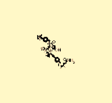 Cc1ncsc1-c1ccc(CNC(=O)[C@@H]2C[C@@H](O)CN2C(=O)[C@@H](NC(=O)C2(CC#Cc3ccc(CO[C@H](C)[C@@H](C)CCC(N)=O)cc3)CC2)C(C)(C)C)cc1